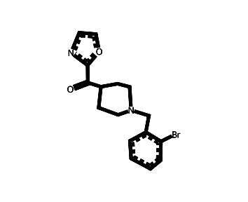 O=C(c1ncco1)C1CCN(Cc2ccccc2Br)CC1